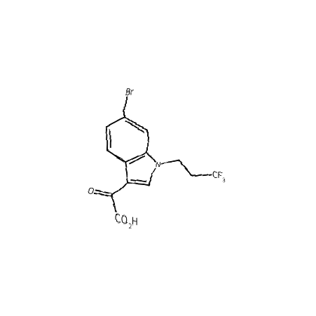 O=C(O)C(=O)c1cn(CCC(F)(F)F)c2cc(Br)ccc12